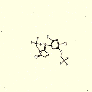 O=C1CS/C(=N\c2cc(SCC(F)(F)F)c(Cl)cc2F)N1CC(F)(F)F